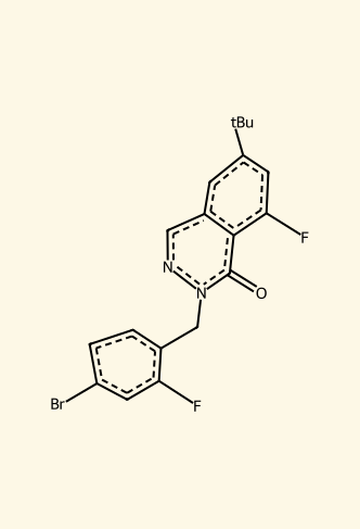 CC(C)(C)c1cc(F)c2c(=O)n(Cc3ccc(Br)cc3F)ncc2c1